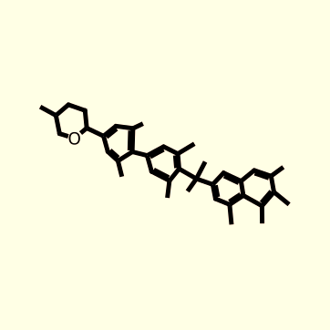 Cc1cc2cc(C(C)(C)c3c(C)cc(-c4c(C)cc(C5CCC(C)CO5)cc4C)cc3C)cc(C)c2c(C)c1C